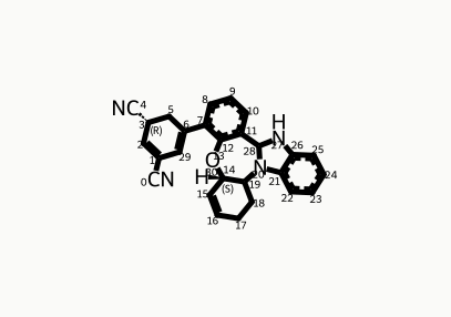 N#CC1=C[C@H](C#N)CC(c2cccc3c2O[C@H]2C=CCCC2N2c4ccccc4NC32)=C1